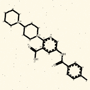 Cc1ccc(C(=O)Nc2cnc(N3CCC(N4CCCCC4)CC3)c(C(=O)O)c2)cc1